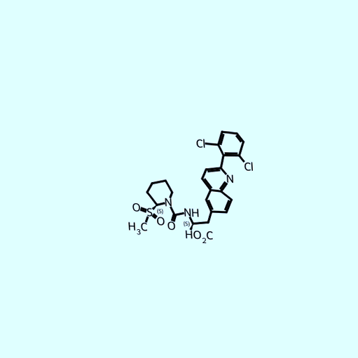 CS(=O)(=O)[C@H]1CCCCN1C(=O)N[C@@H](Cc1ccc2nc(-c3c(Cl)cccc3Cl)ccc2c1)C(=O)O